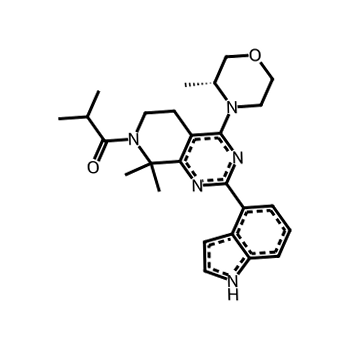 CC(C)C(=O)N1CCc2c(N3CCOC[C@H]3C)nc(-c3cccc4[nH]ccc34)nc2C1(C)C